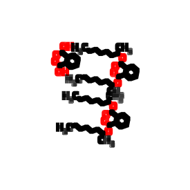 CCCCCCC(C)OC(=O)c1ccccc1C(=O)OC(C)CCCCCC.CCCCCCC(C)OC(=O)c1ccccc1C(=O)OC(C)CCCCCC.O=C(O)c1ccccc1C(=O)O